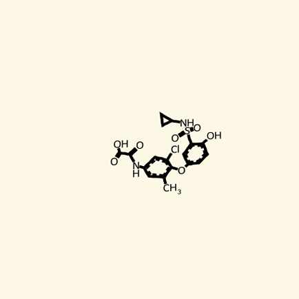 Cc1cc(NC(=O)C(=O)O)cc(Cl)c1Oc1ccc(O)c(S(=O)(=O)NC2CC2)c1